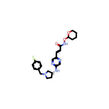 O=C(/C=C/c1cnc(N[C@@H]2CCN(Cc3ccc(F)cc3)C2)cn1)NOC1CCCCO1